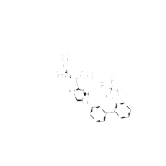 CNC(C)c1ncn(-c2cccc(-c3ccccc3OC(F)(F)F)c2)n1